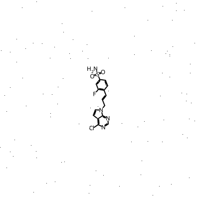 NS(=O)(=O)c1ccc(/C=C/Cn2ccc3c(Cl)ncnc32)c(F)c1